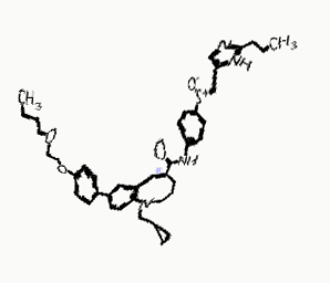 CCCCOCCOc1ccc(-c2ccc3c(c2)/C=C(/C(=O)Nc2ccc([S+]([O-])Cc4cnc(CCC)[nH]4)cc2)CCCN3CC2CC2)cc1